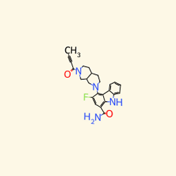 CC#CC(=O)N1CCC2CCN(c3c(F)cc(C(N)=O)c4[nH]c5ccccc5c34)CC2C1